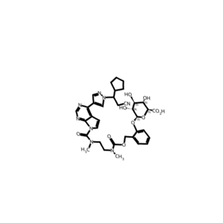 CN(CCN(C)C(=O)n1ccc2c(-c3cnn(C(CC#N)C4CCCC4)c3)ncnc21)C(=O)OCc1ccccc1O[C@@H]1O[C@H](C(=O)O)[C@@H](O)[C@H](O)[C@H]1O